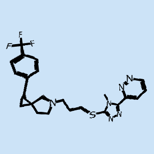 Cn1c(SCCCN2CCC3(CC3c3ccc(C(F)(F)F)cc3)C2)nnc1-c1cccnn1